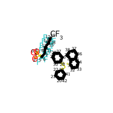 O=S(=O)([O-])C(F)(F)C(F)(F)C(F)(F)C(F)(F)C(F)(F)C(F)(F)F.c1ccc([S+](c2ccccc2)c2cccc3ccccc23)cc1